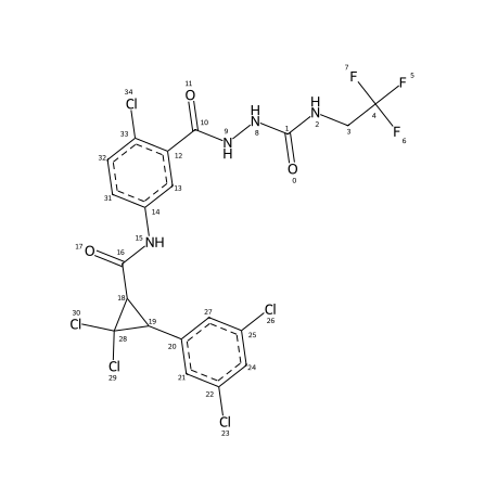 O=C(NCC(F)(F)F)NNC(=O)c1cc(NC(=O)C2C(c3cc(Cl)cc(Cl)c3)C2(Cl)Cl)ccc1Cl